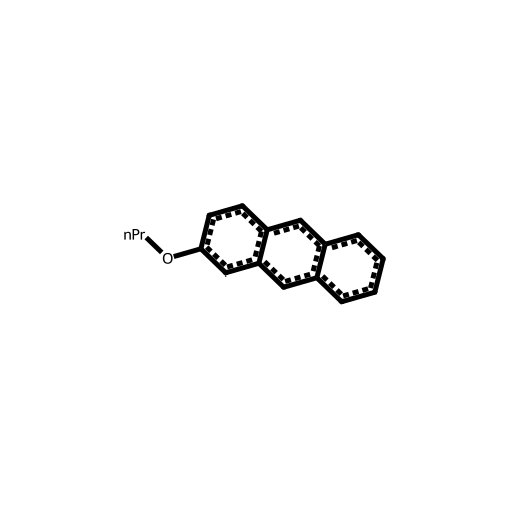 CCCOc1[c]c2cc3ccccc3cc2cc1